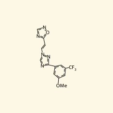 COc1cc(-c2ncn(C=Cc3ncno3)n2)cc(C(F)(F)F)c1